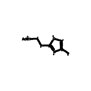 CC(=O)NCCc1nc(C)co1